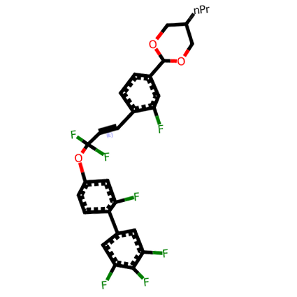 CCCC1COC(c2ccc(/C=C/C(F)(F)Oc3ccc(-c4cc(F)c(F)c(F)c4)c(F)c3)c(F)c2)OC1